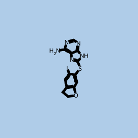 Nc1ncnc2[nH]c(Sc3cc4c(cc3I)CCO4)nc12